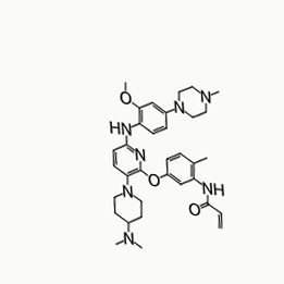 C=CC(=O)Nc1cc(Oc2nc(Nc3ccc(N4CCN(C)CC4)cc3OC)ccc2N2CCC(N(C)C)CC2)ccc1C